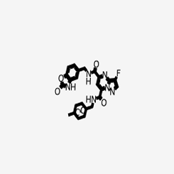 CC12CCC(CNC(=O)c3cc(C(=O)NCc4ccc5oc(=O)[nH]c5c4)nc4c(F)cnn34)(CC1)CC2